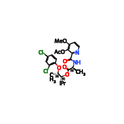 COc1ccnc(C(=O)N[C@@H](C)C(=O)O[C@H](C(C)C)[C@H](C)Oc2ccc(Cl)cc2Cl)c1OC(C)=O